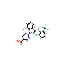 O=C(O)c1ccc(-n2cc(Cc3c(Cl)cccc3C(F)(F)F)c3cccc(F)c32)nc1